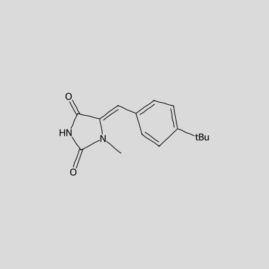 CN1C(=O)NC(=O)/C1=C/c1ccc(C(C)(C)C)cc1